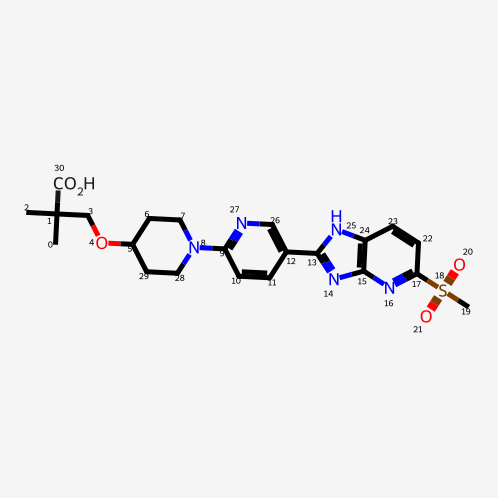 CC(C)(COC1CCN(c2ccc(-c3nc4nc(S(C)(=O)=O)ccc4[nH]3)cn2)CC1)C(=O)O